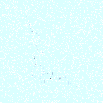 C[C@@]1(c2cc(NC(=O)c3ccc(C#N)cn3)ccc2F)CCCOC(N)=N1